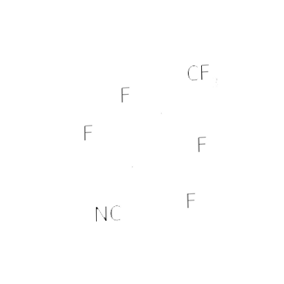 N#CC(F)(F)C(F)(F)C(F)(F)F